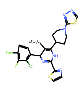 CCOC(=O)C1=C(C2CCN(c3nncs3)CC2)NC(c2nccs2)=NC1c1ccc(F)c(F)c1Cl